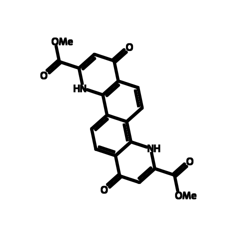 COC(=O)c1cc(=O)c2ccc3c(ccc4c(=O)cc(C(=O)OC)[nH]c43)c2[nH]1